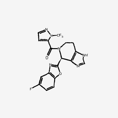 O=C(c1ccnn1C(F)(F)F)N1CCc2[nH]cnc2[C@H]1c1nc2cc(F)ccc2o1